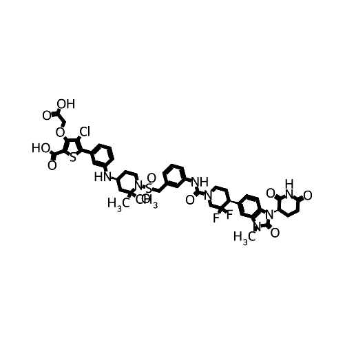 Cn1c(=O)n([C@H]2CCC(=O)NC2=O)c2ccc([C@@H]3CCN(C(=O)Nc4cccc(CS(=O)(=O)N5CC[C@H](Nc6cccc(-c7sc(C(=O)O)c(OCC(=O)O)c7Cl)c6)CC5(C)C)c4)CC3(F)F)cc21